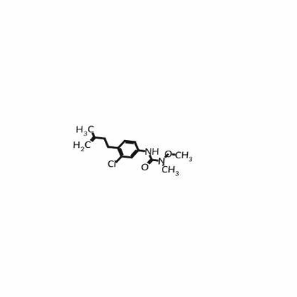 C=C(C)CCc1ccc(NC(=O)N(C)OC)cc1Cl